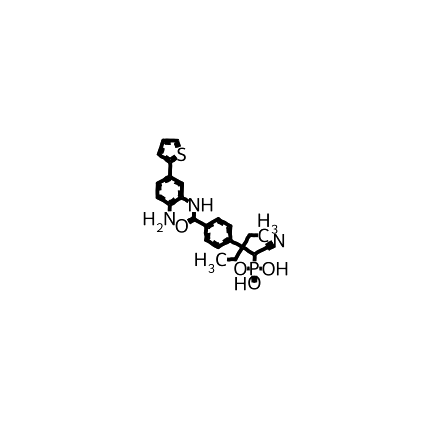 CCC(CC)(c1ccc(C(=O)Nc2cc(-c3cccs3)ccc2N)cc1)C(C#N)P(=O)(O)O